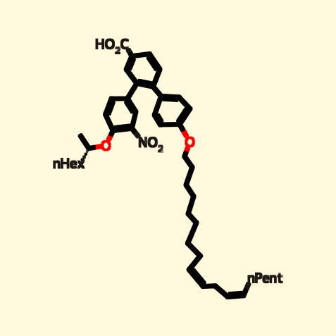 CCCCC/C=C\C/C=C\CCCCCCCCOc1ccc(-c2ccc(C(=O)O)cc2-c2ccc(O[C@@H](C)CCCCCC)c([N+](=O)[O-])c2)cc1